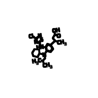 CC(C)CN(c1ccc(C(C)CC(=O)O)cc1Nc1nc(Cl)ns1)C1CCCCC1